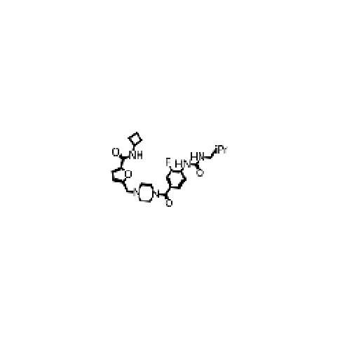 CC(C)CNC(=O)Nc1ccc(C(=O)N2CCN(Cc3ccc(C(=O)NC4CCC4)o3)CC2)cc1F